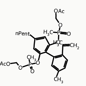 C=C(C)c1ccc(C)cc1-c1c(OP(C)(=O)OCOC(C)=O)cc(CCCCC)cc1OP(C)(=O)OCOC(C)=O